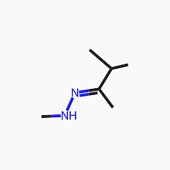 CN/N=C(\C)C(C)C